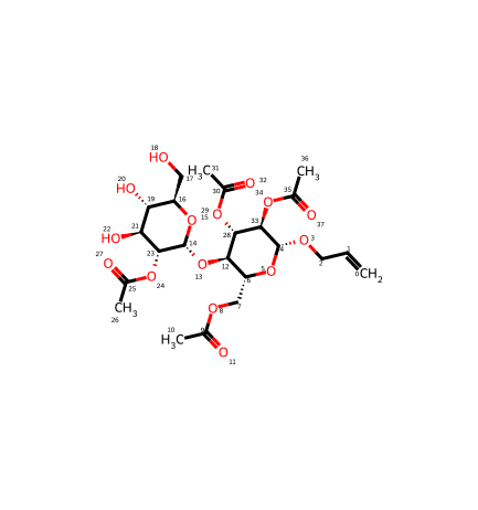 C=CCO[C@@H]1O[C@H](COC(C)=O)[C@@H](O[C@H]2O[C@H](CO)[C@@H](O)[C@H](O)[C@H]2OC(C)=O)[C@H](OC(C)=O)[C@H]1OC(C)=O